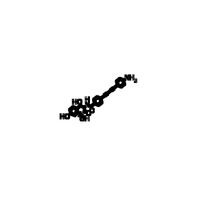 Nc1ccc(C#CC#Cc2ccc(C(=O)NC(C(=O)NO)C(O)c3ccc(O)cc3)cc2)cc1